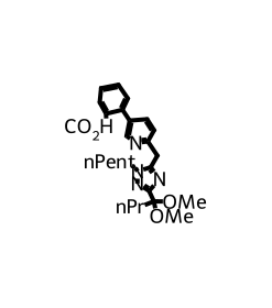 CCCCCn1nc(C(CCC)(OC)OC)nc1Cc1ccc(-c2ccccc2C(=O)O)cn1